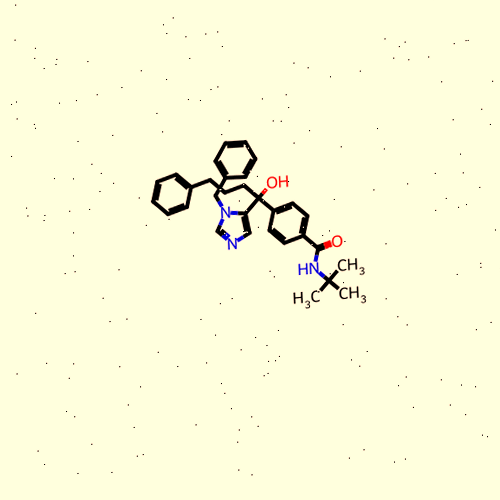 CC(C)(C)NC(=O)c1ccc(C(O)(CCCc2ccccc2)c2cncn2Cc2ccccc2)cc1